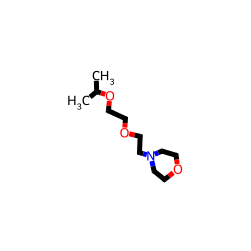 CC(C)OCCOCCN1CCOCC1